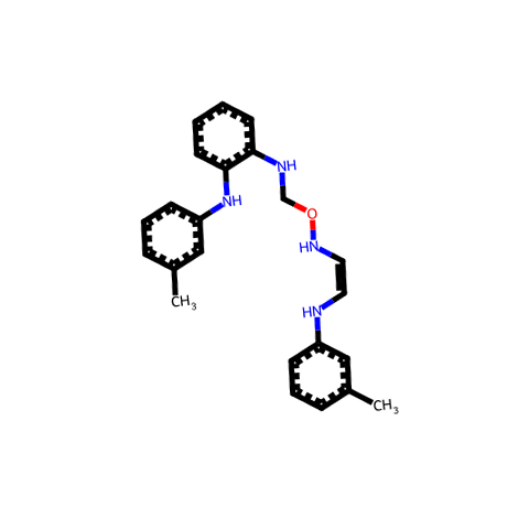 Cc1cccc(N/C=C\NOCNc2ccccc2Nc2cccc(C)c2)c1